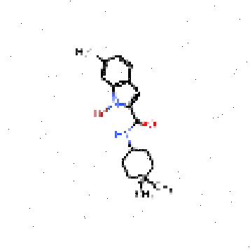 Cc1ccc2cc(C(=O)NC3CC[Si](C)(C)CC3)n(Br)c2c1